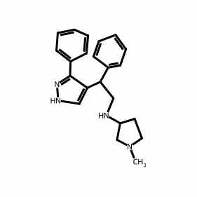 CN1CCC(NCC(c2ccccc2)c2c[nH]nc2-c2ccccc2)C1